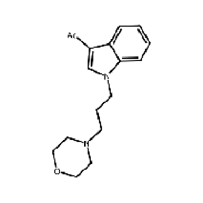 CC(=O)c1cn(CCCN2CCOCC2)c2ccccc12